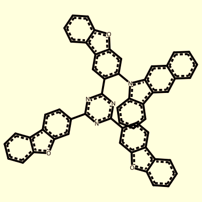 c1ccc2cc3c(cc2c1)c1ccccc1n3-c1cc2oc3ccccc3c2cc1-c1nc(-c2ccc3c(c2)oc2ccccc23)nc(-c2ccc3c(c2)oc2ccccc23)n1